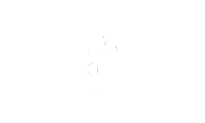 CCOC(=O)C(C)(C)Oc1ccc(C2CC2)cc1C